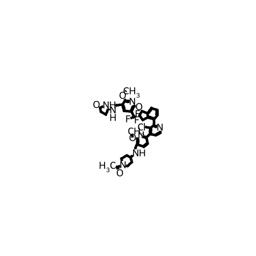 COc1nc(-c2ccnc(-c3cccc4c3CC[C@@H]4Oc3nc(OC)c(CN[C@H]4CCC(=O)N4)cc3C(F)(F)F)c2Cl)ccc1CNC1CCN(C(C)=O)CC1